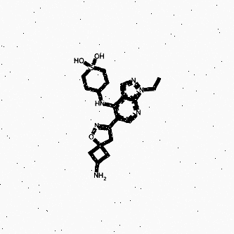 CCn1ncc2c(NC3CCS(O)(O)CC3)c(C3=NOC4(C3)CC(N)C4)cnc21